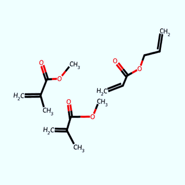 C=C(C)C(=O)OC.C=C(C)C(=O)OC.C=CCOC(=O)C=C